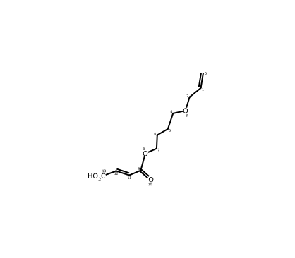 C=CCOCCCCOC(=O)C=CC(=O)O